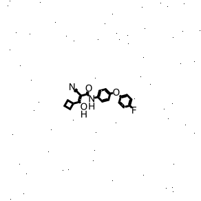 N#CC(C(=O)Nc1ccc(Oc2ccc(F)cc2)cc1)=C(O)C1CCC1